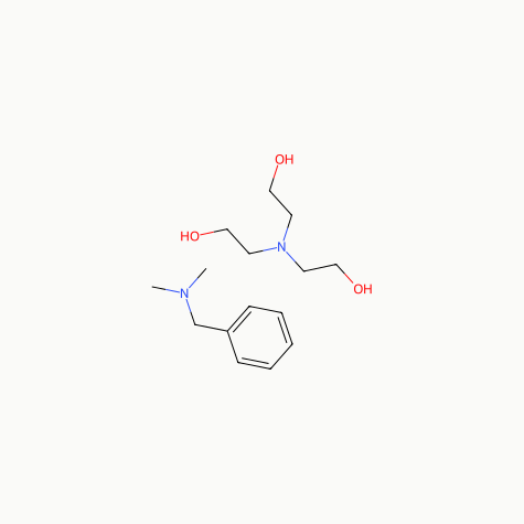 CN(C)Cc1ccccc1.OCCN(CCO)CCO